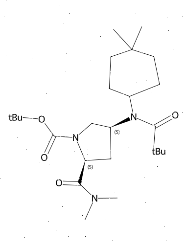 CN(C)C(=O)[C@@H]1C[C@H](N(C(=O)C(C)(C)C)C2CCC(C)(C)CC2)CN1C(=O)OC(C)(C)C